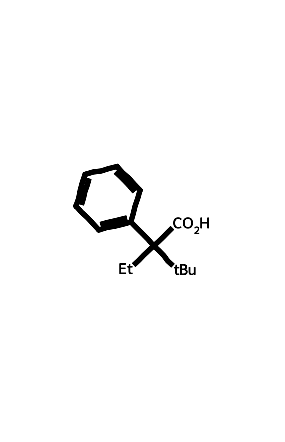 CCC(C(=O)O)(c1ccccc1)C(C)(C)C